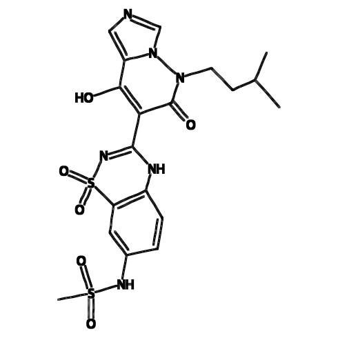 CC(C)CCn1c(=O)c(C2=NS(=O)(=O)c3cc(NS(C)(=O)=O)ccc3N2)c(O)c2cncn21